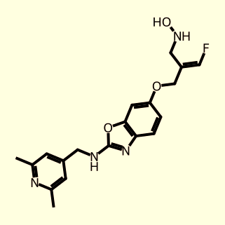 Cc1cc(CNc2nc3ccc(OC/C(=C/F)CNO)cc3o2)cc(C)n1